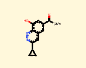 COC(=O)c1cc(O)c2nnc(C3CC3)cc2c1